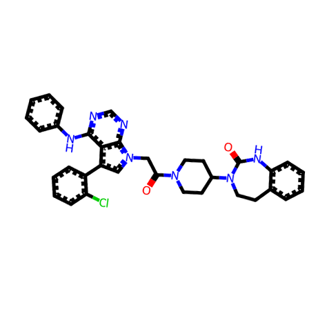 O=C(Cn1cc(-c2ccccc2Cl)c2c(Nc3ccccc3)ncnc21)N1CCC(N2CCc3ccccc3NC2=O)CC1